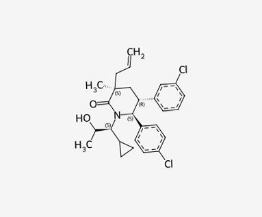 C=CC[C@@]1(C)C[C@H](c2cccc(Cl)c2)[C@@H](c2ccc(Cl)cc2)N([C@H](C(C)O)C2CC2)C1=O